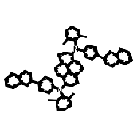 Cc1cccc(C)c1N(c1ccc(-c2ccc3ccccc3c2)cc1)c1ccc2ccc3c(N(c4ccc(-c5ccc6ccccc6c5)cc4)c4c(C)cccc4C)ccc4ccc1c2c43